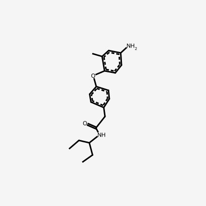 CCC(CC)NC(=O)Cc1ccc(Oc2ccc(N)cc2C)cc1